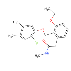 CCOc1cccc(CC(=O)NC)c1COc1cc(C)c(C)cc1F